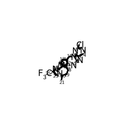 CNc1nc2cnc(Cl)nc2n1Cc1ccc2c(c1)CCC(C)n1cc(C(F)(F)F)nc1-2